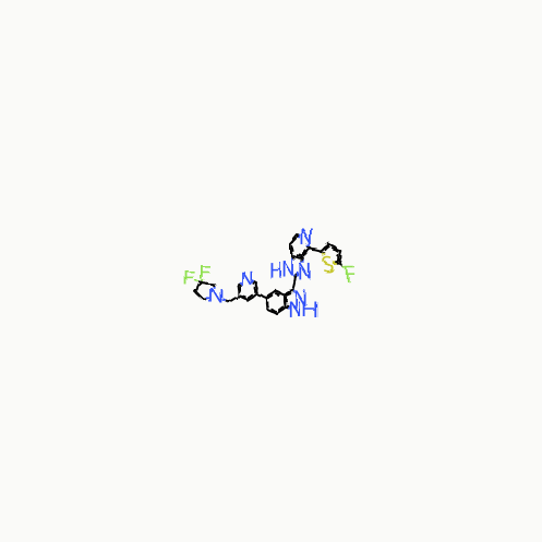 Fc1ccc(-c2nccc3[nH]c(-c4n[nH]c5ccc(-c6cncc(CN7CCC(F)(F)C7)c6)cc45)nc23)s1